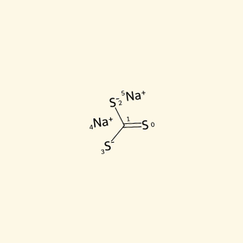 S=C([S-])[S-].[Na+].[Na+]